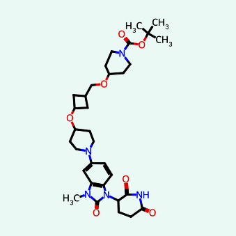 Cn1c(=O)n(C2CCC(=O)NC2=O)c2ccc(N3CCC(OC4CC(COC5CCN(C(=O)OC(C)(C)C)CC5)C4)CC3)cc21